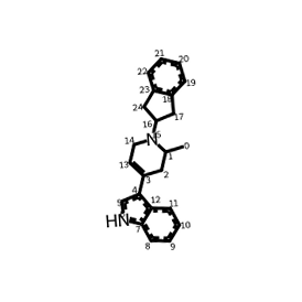 CC1CC(c2c[nH]c3ccccc23)=CCN1C1Cc2ccccc2C1